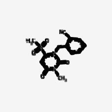 Cn1c(=O)cc(S(C)(=O)=O)n(Cc2ccccc2C#N)c1=O